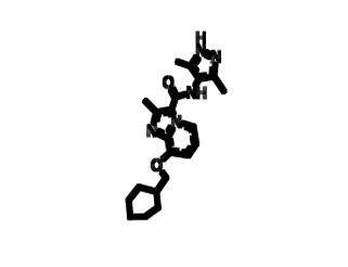 Cc1n[nH]c(C)c1NC(=O)c1c(C)nc2c(OCC3CCCCC3)cccn12